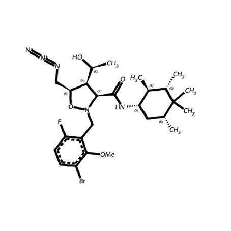 COc1c(Br)ccc(F)c1CN1O[C@@H](CN=[N+]=[N-])[C@@H]([C@H](C)O)[C@H]1C(=O)N[C@H]1C[C@@H](C)C(C)(C)[C@@H](C)[C@@H]1C